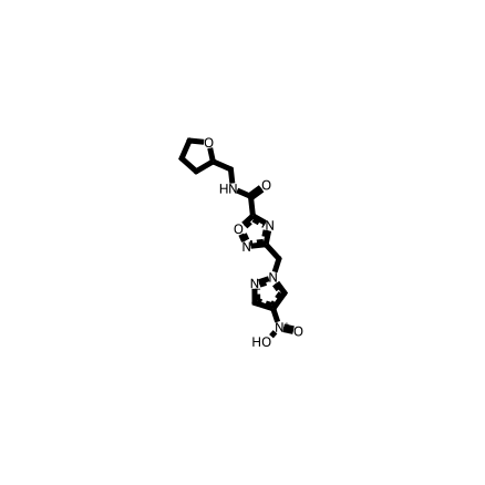 O=C(NCC1CCCO1)c1nc(Cn2cc([N+](=O)O)cn2)no1